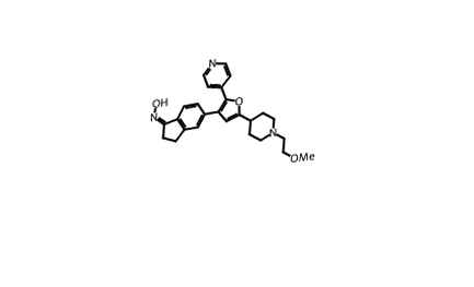 COCCN1CCC(c2cc(-c3ccc4c(c3)CC/C4=N/O)c(-c3ccncc3)o2)CC1